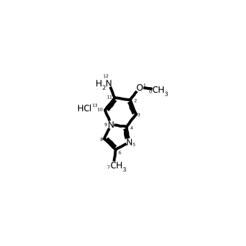 COc1cc2nc(C)cn2cc1N.Cl